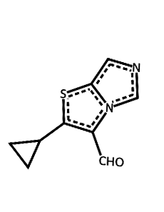 O=Cc1c(C2CC2)sc2cncn12